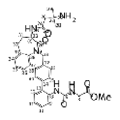 COC(=O)CNC(=O)Nc1ccccc1-c1ccc(CN2C(=O)[C@H](NC(=O)CC(C)(C)N)CCc3ccccc32)cc1